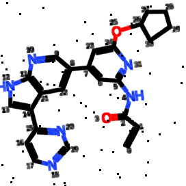 C=CC(=O)Nc1cc(-c2cnc3[nH]cc(-c4ccncn4)c3c2)cc(OC2CCCC2)n1